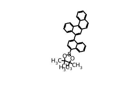 CC1(C)OB(c2ccc(-c3cc4ccc5ccccc5c4c4ccccc34)c3ccccc23)OC1(C)C